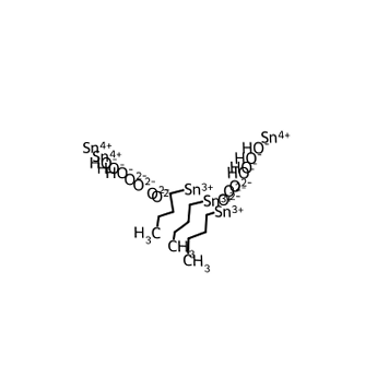 CCC[CH2][Sn+3].CCC[CH2][Sn+3].CCC[CH2][Sn+3].[O-2].[O-2].[O-2].[O-2].[O-2].[O-2].[O-2].[OH-].[OH-].[OH-].[OH-].[OH-].[OH-].[OH-].[Sn+4].[Sn+4].[Sn+4]